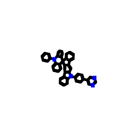 c1ccc(N2c3ccccc3C3(c4ccccc4-c4cc5c(cc43)c3ccccc3n5-c3ccc(-c4cncnc4)cc3)c3ccccc32)cc1